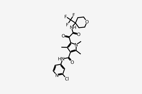 Cc1c(C(=O)Nc2ccnc(Cl)c2)c(C)n(C)c1C(=O)C(=O)NC1(C(F)(F)F)CCOCC1